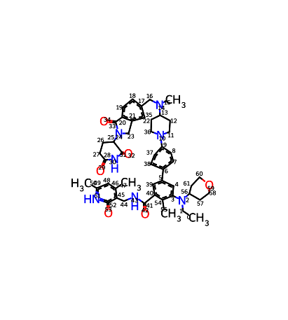 CCN(c1cc(-c2ccc(N3CCC(N(C)Cc4ccc5c(c4)CN(C4CCC(=O)NC4=O)C5=O)CC3)cc2)cc(C(=O)NCc2c(C)cc(C)[nH]c2=O)c1C)C1CCOCC1